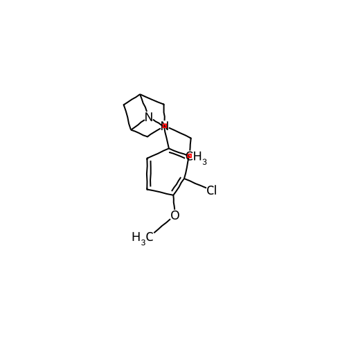 CCN1CC2CC(C1)N2Cc1ccc(OC)c(Cl)c1